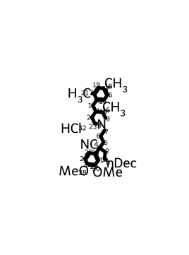 CCCCCCCCCCCCC(C#N)(CCCN1CCC(Cc2c(C)cc(C)cc2C)CC1)c1ccc(OC)c(OC)c1.Cl